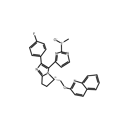 C[S+]([O-])c1nccc(-c2c(-c3ccc(F)cc3)nc3n2[C@H](COc2ccc4ccccc4n2)CC3)n1